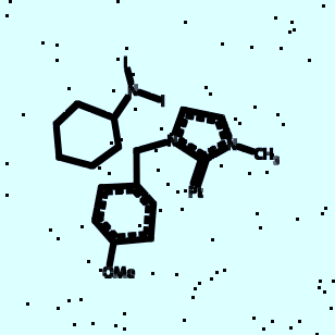 COc1ccc(Cn2ccn(C)[c]2=[Pt])cc1.IN(I)C1CCCCC1